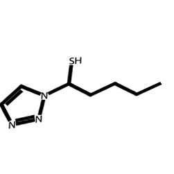 CCCCC(S)n1ccnn1